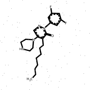 CCCCCCCCc1c(N2CCNCC2)cnn(-c2cc(F)cc(F)c2)c1=O